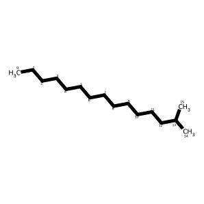 CCCCCCCCCCC[CH]CC(C)C